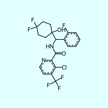 O=C(NC(c1ccccc1F)C1(O)CCC(F)(F)CC1)c1nccc(C(F)(F)F)c1Cl